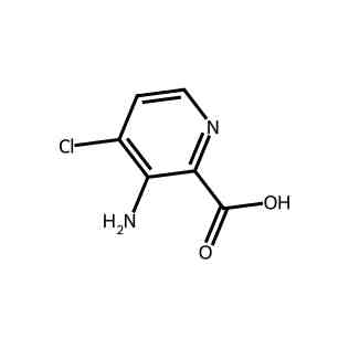 Nc1c(Cl)ccnc1C(=O)O